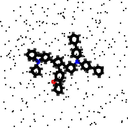 c1ccc(-c2ccc(N(c3ccc(-c4ccccc4)cc3)c3cccc(-c4ccc(-c5ccc6c7ccccc7n(-c7ccccc7)c6c5)cc4-c4ccc5c(c4)oc4ccccc45)c3)cc2)cc1